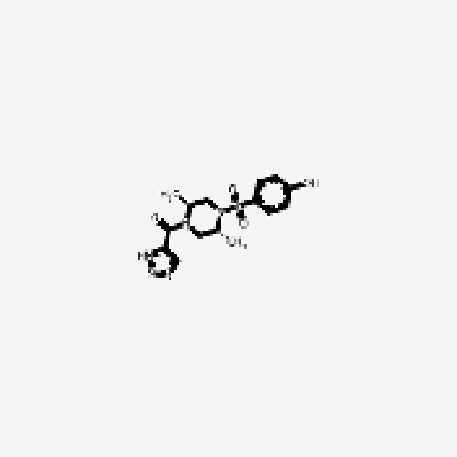 C[C@@H]1CN(C(=O)c2cnn[nH]2)[C@@H](C)CN1S(=O)(=O)c1ccc(O)cc1